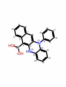 OB(O)c1c2c(cc3ccccc13)N(c1ccccc1)c1ccccc1N2